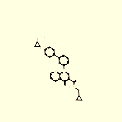 O=C(NCC1CC1)c1cn(-c2cccc(-c3ccc([C@@H]4C[C@H]4C(=O)O)cc3)c2)c2ncccc2c1=O